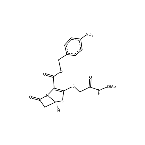 CONC(=O)CSC1=C(C(=O)OCc2ccc([N+](=O)[O-])cc2)N2C(=O)C[C@@H]2S1